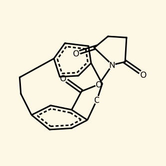 O=C(ON1C(=O)CCC1=O)c1cc2ccc1CCc1ccc(cc1)CC2